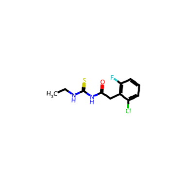 CCNC(=S)NC(=O)Cc1c(F)cccc1Cl